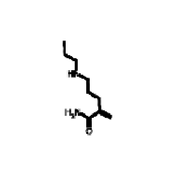 C=C(CCCNCCC)C(N)=O